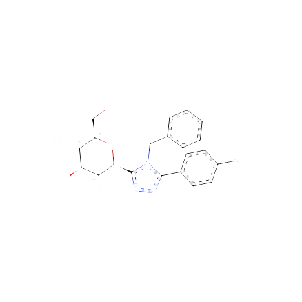 O=[N+]([O-])c1ccc(-c2nnc([C@@H]3O[C@H](CO)[C@@H](O)[C@H](O)[C@H]3O)n2Cc2ccccc2)cc1